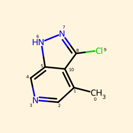 Cc1cncc2[nH]nc(Cl)c12